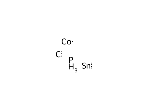 P.[C].[Co].[Sn]